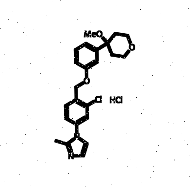 COC1(c2cccc(OCc3ccc(-n4ccnc4C)cc3Cl)c2)CCOCC1.Cl